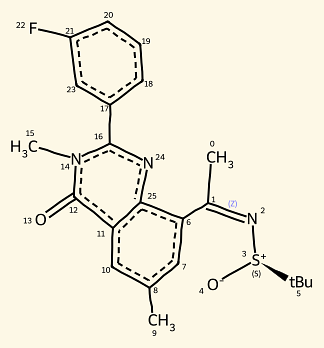 C/C(=N/[S@+]([O-])C(C)(C)C)c1cc(C)cc2c(=O)n(C)c(-c3cccc(F)c3)nc12